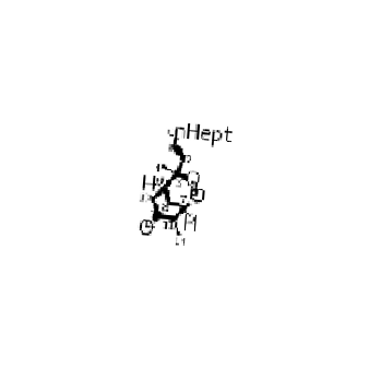 CCCCCCC/C=C/[C@]1(C)OO[C@@H]2C[C@H]1CC(=O)[C@@H]2C